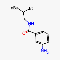 CCCCC(CC)CNC(=O)c1cccc(N)c1